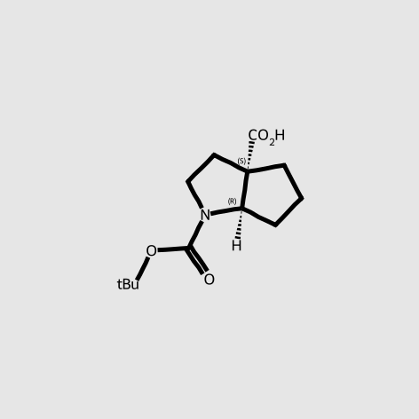 CC(C)(C)OC(=O)N1CC[C@@]2(C(=O)O)CCC[C@@H]12